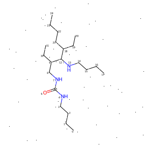 CCCCNC(=O)NCC(CC)C(NCCCC)C(CC)CCCC